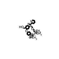 C[Si](C)(C)CCOCn1c(-c2ccccn2)nc2cc(CO)c(Oc3ccc(S(C)(=O)=O)cc3)cc21